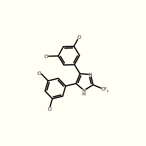 FC(F)(F)c1nc(-c2cc(Cl)cc(Cl)c2)c(-c2cc(Cl)cc(Cl)c2)[nH]1